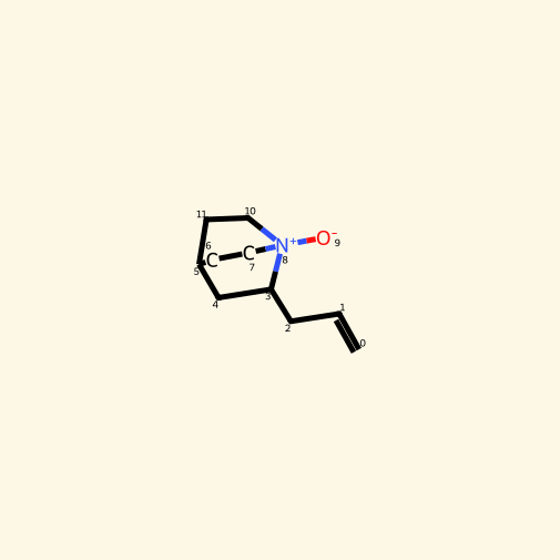 C=CCC1CC2CC[N+]1([O-])CC2